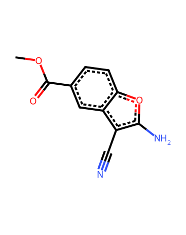 COC(=O)c1ccc2oc(N)c(C#N)c2c1